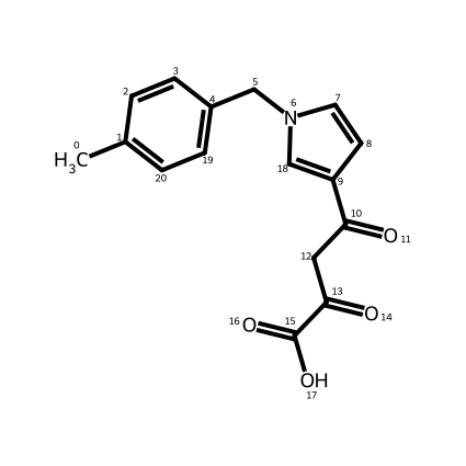 Cc1ccc(Cn2ccc(C(=O)CC(=O)C(=O)O)c2)cc1